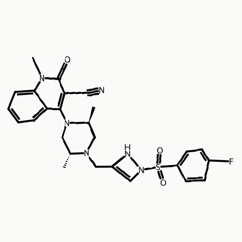 C[C@@H]1CN(c2c(C#N)c(=O)n(C)c3ccccc23)[C@@H](C)CN1Cc1cn(S(=O)(=O)c2ccc(F)cc2)[nH]1